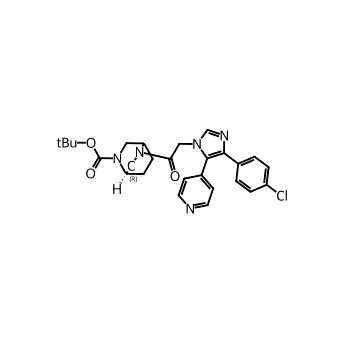 CC(C)(C)OC(=O)N1CC2CC[C@@H]1CN2C(=O)Cn1cnc(-c2ccc(Cl)cc2)c1-c1ccncc1